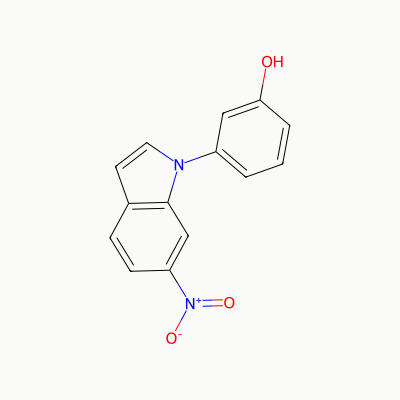 O=[N+]([O-])c1ccc2ccn(-c3cccc(O)c3)c2c1